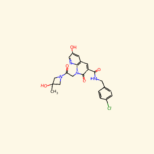 CC1(O)CN(C(=O)Cn2c(=O)c(C(=O)NCc3ccc(Cl)cc3)cc3cc(O)cnc32)C1